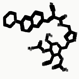 COC1OC(Cn2cc(CNC(=O)/C(C#N)=C/c3ccc4cc(N5CCCCC5)ccc4c3)nn2)C(OC(C)=O)C(C=O)C1OC(C)=O